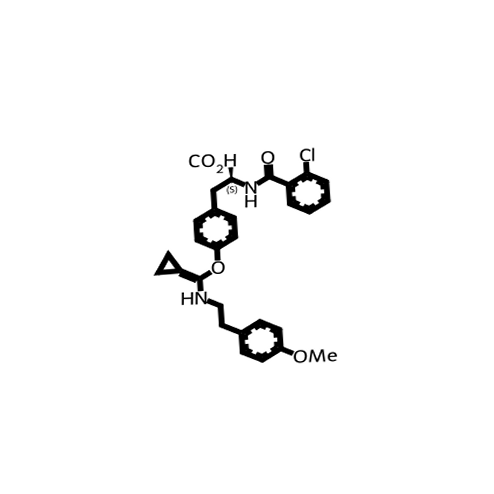 COc1ccc(CCNC(Oc2ccc(C[C@H](NC(=O)c3ccccc3Cl)C(=O)O)cc2)=C2CC2)cc1